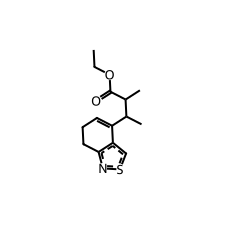 CCOC(=O)C(C)C(C)C1=CCCc2nscc21